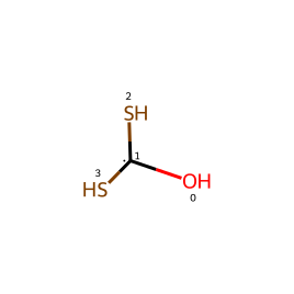 O[C](S)S